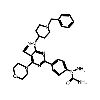 NC(=O)N(N)c1ccc(-c2nc(N3CCOCC3)c3cnn(C4CCN(Cc5ccccc5)CC4)c3n2)cc1